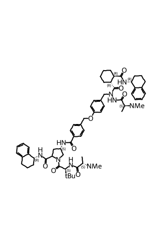 CN[C@@H](C)C(=O)N[C@H](C(=O)N1C[C@@H](NC(=O)c2ccc(COc3ccc(CN(NC(=O)[C@H](C)NC)C(=O)[C@@H]4CCCC[C@H]4C(=O)N[C@@H]4CCCc5ccccc54)cc3)cc2)CC1C(=O)N[C@@H]1CCCc2ccccc21)C(C)(C)C